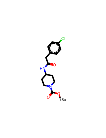 CC(C)(C)OC(=O)N1CCC(NC(=O)Cc2ccc(Cl)cc2)CC1